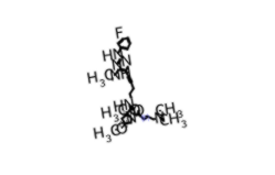 CNc1nc(Nc2cccc(F)c2)ncc1C#CCCCNC(=O)[C@]1(C)C[C@H](OC)CN1C(=O)/C=C/CN(C)C